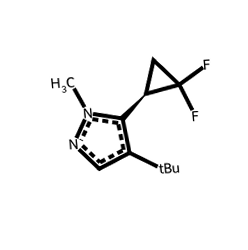 Cn1ncc(C(C)(C)C)c1[C@H]1CC1(F)F